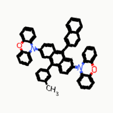 Cc1cccc(-c2c3ccc(N4c5ccccc5Oc5ccccc54)cc3c(-c3ccc4ccccc4c3)c3ccc(N4c5ccccc5Oc5ccccc54)cc23)c1